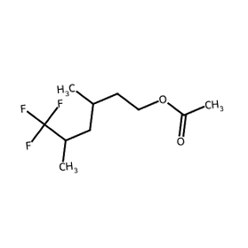 CC(=O)OCCC(C)CC(C)C(F)(F)F